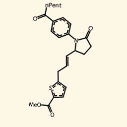 CCCCCC(=O)c1ccc(N2C(=O)CCC2C=CCc2ccc(C(=O)OC)s2)cc1